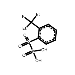 CCC(F)(CC)c1ccccc1S(=O)(=O)P(=O)(O)O